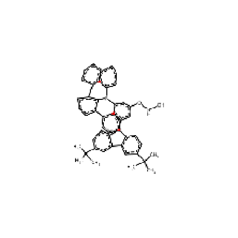 CC(C)(C)c1ccc2c(c1)-c1cc(C(C)(C)C)ccc1B2c1cc(OBO)cc(N(c2ccccc2)c2c(-c3ccccc3)cccc2-c2ccccc2)c1